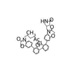 CC(=O)CC[C@H](C)CN1C(=O)COc2cc(-c3cccc(-c4cccc(-c5ccc6c(c5)OCC(=O)N6CC5CNC(=O)C5)c4Cl)c3Cl)ccc21